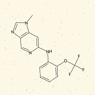 Cn1cnc2cnc(Nc3ccccc3OC(F)(F)F)cc21